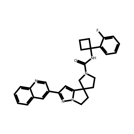 O=C(NC1(c2ccccc2F)CCC1)N1CCC2(CCn3nc(-c4cnc5ccccc5c4)cc32)C1